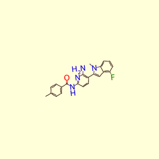 Cc1ccc(C(=O)Nc2ccc(-c3cc4c(F)cccc4n3C)c(N)n2)cc1